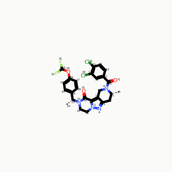 C[C@@H]1Cc2nn3c(c2CN1C(=O)c1ccc(Cl)c(Cl)c1)C(=O)N([C@H](C)c1ccc(OC(F)F)cc1)CC3